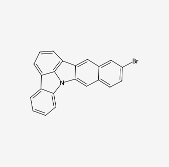 Brc1ccc2cc3c(cc2c1)c1cccc2c4ccccc4n3c21